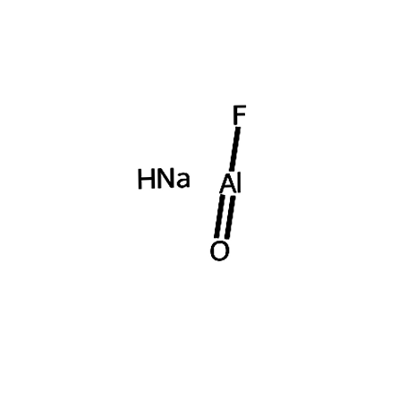 [NaH].[O]=[Al][F]